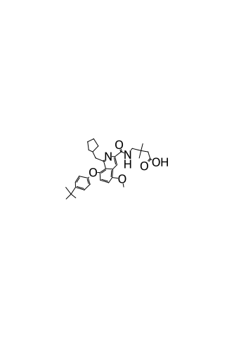 COc1ccc(Oc2ccc(C(C)(C)C)cc2)c2c(CC3CCCC3)nc(C(=O)NCC(C)(C)CC(=O)O)cc12